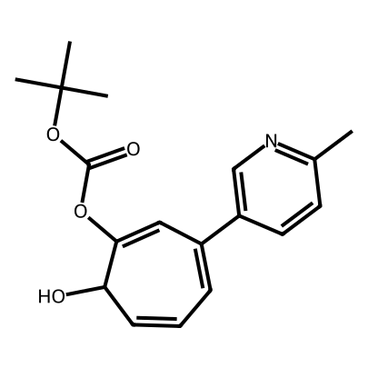 Cc1ccc(C2=CC=CC(O)C(OC(=O)OC(C)(C)C)=C2)cn1